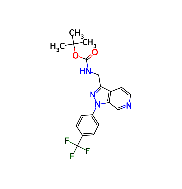 CC(C)(C)OC(=O)NCc1nn(-c2ccc(C(F)(F)F)cc2)c2cnccc12